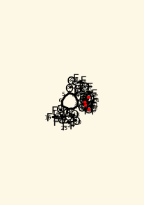 O=S(=O)(OC1CCCC(OS(=O)(=O)C(F)(F)F)C(OS(=O)(=O)C(F)(F)F)C(OS(=O)(=O)C(F)(F)F)C(OS(=O)(=O)C(F)(F)F)C1OS(=O)(=O)C(F)(F)F)C(F)(F)F